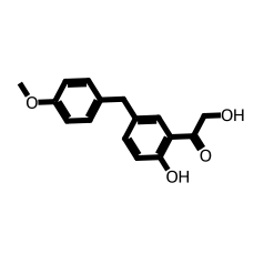 COc1ccc(Cc2ccc(O)c(C(=O)CO)c2)cc1